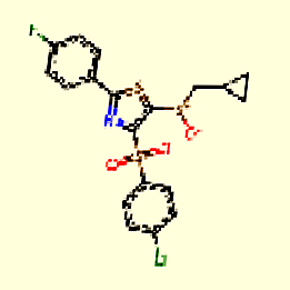 O=S(=O)(c1ccc(Cl)cc1)c1nc(-c2ccc(F)cc2)sc1[S+]([O-])CC1CC1